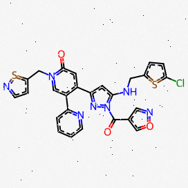 O=C(c1cnoc1)n1nc(-c2cc(=O)n(Cc3ccns3)cc2-c2ccccn2)cc1NCc1ccc(Cl)s1